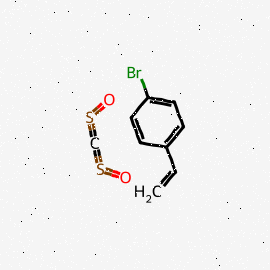 C=Cc1ccc(Br)cc1.O=S=C=S=O